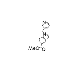 COC(=O)c1ccc2c(ccn2Cc2cccnc2)c1